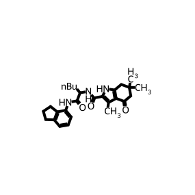 CCCCC(NC(=O)c1[nH]c2c(c1C)C(=O)CC(C)(C)C2)C(=O)Nc1cccc2c1CCC2